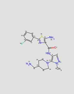 Cn1ncc(NC(=O)c2nc(-c3cccc(F)c3)sc2N)c1N1CCC(CN)CC1